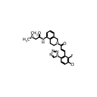 CN(C)CC(=O)Nc1cccc2c1CCN(C(=O)C=Cc1c(-n3cnnn3)ccc(Cl)c1F)C2